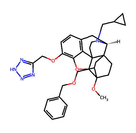 COC12CCC3(CC1COCc1ccccc1)[C@@H]1Cc4ccc(OCc5nn[nH]n5)c5c4C3(CCN1CC1CC1)C2O5